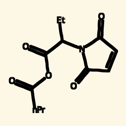 CCCC(=O)OC(=O)C(CC)N1C(=O)C=CC1=O